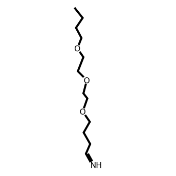 CCCCOCCOCCOCCCC=N